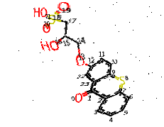 O=c1c2ccccc2sc2ccc(OCC(O)CS(=O)(=O)O)cc12